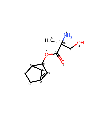 C[C@](N)(CO)C(=O)OC1C=C2CCC1C2